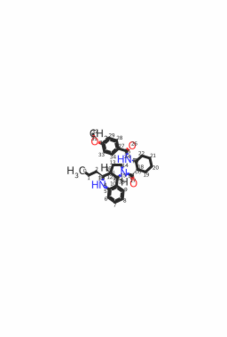 CCC[C@@H]1Nc2ccccc2[C@H]2[C@@H]1CCN2C(=O)[C@H]1CCCC[C@H]1NC(=O)c1ccc(OC)cc1